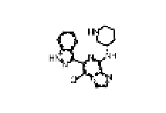 Clc1c(-c2n[nH]c3ccccc23)nc(N[C@H]2CCCNC2)c2nccn12